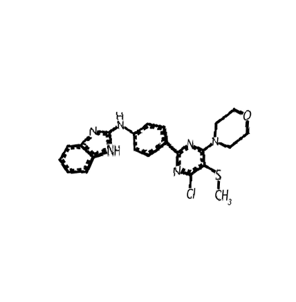 CSc1c(Cl)nc(-c2ccc(Nc3nc4ccccc4[nH]3)cc2)nc1N1CCOCC1